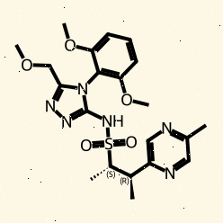 COCc1nnc(NS(=O)(=O)[C@@H](C)[C@H](C)c2cnc(C)cn2)n1-c1c(OC)cccc1OC